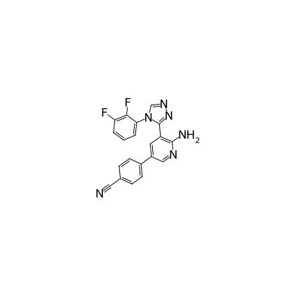 N#Cc1ccc(-c2cnc(N)c(-c3nncn3-c3cccc(F)c3F)c2)cc1